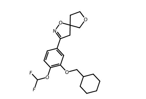 FC(F)Oc1ccc(C2=NOC3(CCOC3)C2)cc1OCC1CCCCC1